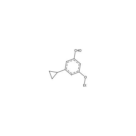 CCOc1[c]c(C2CC2)cc(C=O)c1